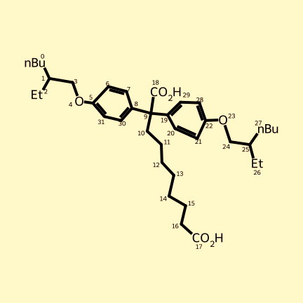 CCCCC(CC)COc1ccc(C(CCCCCCCC(=O)O)(C(=O)O)c2ccc(OCC(CC)CCCC)cc2)cc1